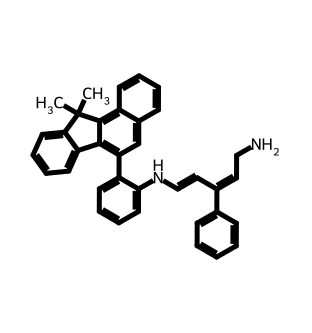 CC1(C)c2ccccc2-c2c(-c3ccccc3N/C=C/C(=C\CN)c3ccccc3)cc3ccccc3c21